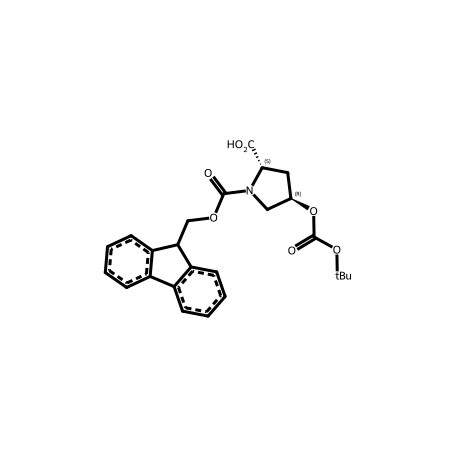 CC(C)(C)OC(=O)O[C@@H]1C[C@@H](C(=O)O)N(C(=O)OCC2c3ccccc3-c3ccccc32)C1